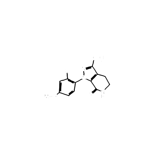 COc1ccc(-n2nc(C(=O)O)c3c2C(=O)NCC3)c(Cl)c1